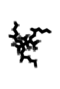 CCCCC(C)CCC(C(=O)O)C(O)(C(=O)O)C(CCC(C)CCCC)(CCC(C)CCCC)C(=O)O